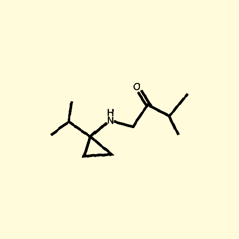 CC(C)C(=O)CNC1(C(C)C)CC1